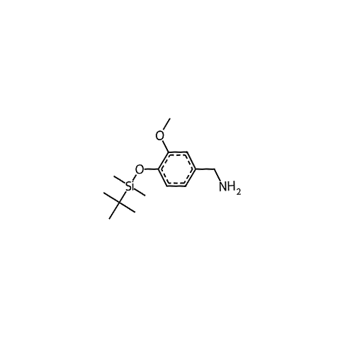 COc1cc(CN)ccc1O[Si](C)(C)C(C)(C)C